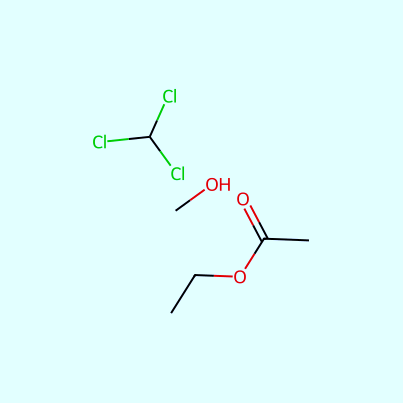 CCOC(C)=O.CO.ClC(Cl)Cl